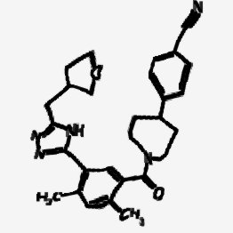 Cc1cc(C)c(-c2nnc(CC3CCOC3)[nH]2)cc1C(=O)N1CCC(c2ccc(C#N)cc2)CC1